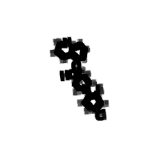 OC1(COc2cccc3ncccc23)CCN(c2ccc(Cl)cc2F)CC1